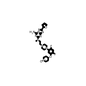 CN(CCN1CCN(c2cc(O[C@H]3CC[S@+]([O-])CC3)c(F)cc2F)CC1)c1nc(N)n2nc(-c3ccco3)nc2n1